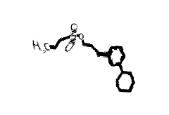 C=CCS(=O)(=O)OCCCc1cccc(C2CCCCC2)c1